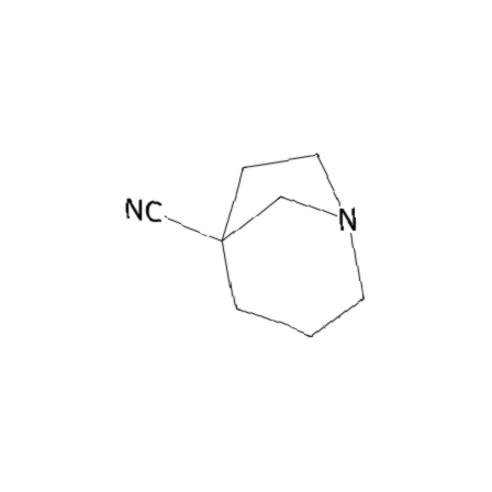 N#CC12CCCN(CC1)C2